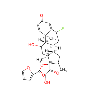 CC1C[C@H]2[C@@H]3CC(F)C4=CC(=O)C=C[C@]4(C)[C@H]3C(O)C[C@]2(C)[C@@]1(OC(=O)c1ccco1)C(=O)CO